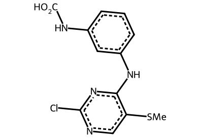 CSc1cnc(Cl)nc1Nc1cccc(NC(=O)O)c1